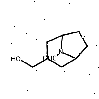 O=CN1C2CCC1CC(CO)C2